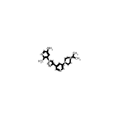 Cc1ncc(N)cc1-n1cc(-c2cncc(N3CCN(C(C)C)CC3)c2)nn1